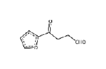 O=CCCC(=O)c1ccco1